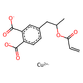 C=CC(=O)OC(C)Cc1ccc(C(=O)[O-])c(C(=O)[O-])c1.[Cu+2]